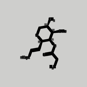 CCCCCCCC=C[C@H]1OC[C@H](C)[C@@H](OC)[C@H]1OC(=O)CN